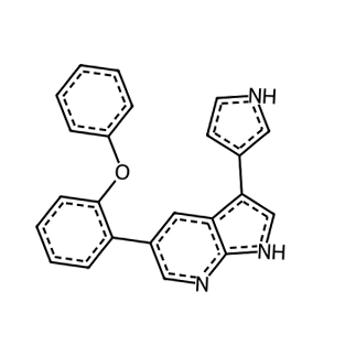 c1ccc(Oc2ccccc2-c2cnc3[nH]cc(-c4cc[nH]c4)c3c2)cc1